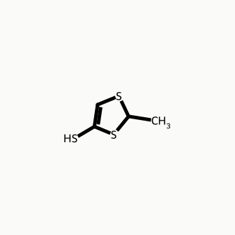 CC1SC=C(S)S1